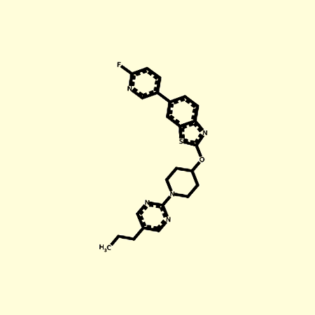 CCCc1cnc(N2CCC(Oc3nc4ccc(-c5ccc(F)nc5)cc4s3)CC2)nc1